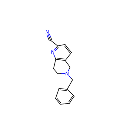 N#Cc1ccc2c(n1)CCN(Cc1ccccc1)C2